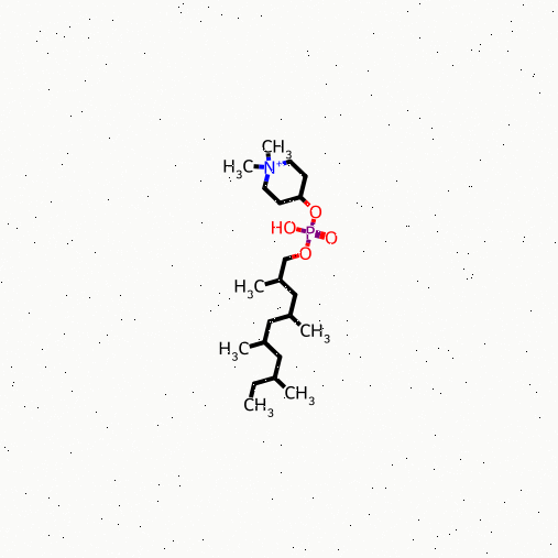 CCC(C)CC(C)CC(C)CC(C)COP(=O)(O)OC1CC[N+](C)(C)CC1